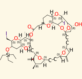 C=C1C[C@@H]2CC[C@]34C[C@@H](O)C(O3)[C@@H]3O[C@H]5CC[C@H](CC(=O)O[C@@H]6[C@@H](C)[C@@H]7O[C@H](CI)C(O[Si](CC)(CC)CC)C[C@@H]7O[C@H]6C[C@H]6O[C@@H](CC[C@@H]1O2)C[C@@H](C)C6=C)O[C@@H]5C(O4)C3I